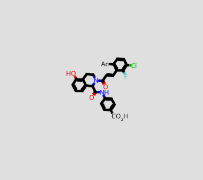 CC(=O)c1ccc(Cl)c(F)c1C=CC(=O)N1CCc2c(O)cccc2C1C(=O)Nc1ccc(C(=O)O)cc1